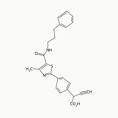 C#CC(C(=O)O)c1ccc(-c2nc(C)c(C(=O)NCCCc3ccccc3)s2)cc1